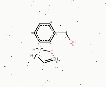 C=CC.O=C(O)O.OCc1ccccc1